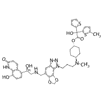 Cc1ccc(C(O)(C(=O)O[C@H]2CC[C@H](N(C)CCCn3nnc4cc(CNC[C@H](O)c5ccc(O)c6[nH]c(=O)ccc56)c5c(c43)OCO5)CC2)c2cccs2)s1